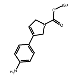 CC(C)(C)OC(=O)N1CC=C(c2ccc(N)cc2)C1